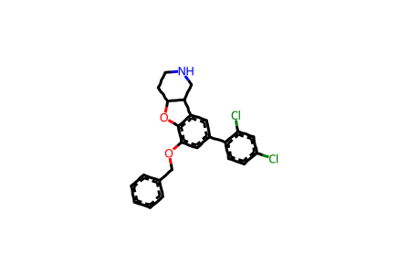 Clc1ccc(-c2cc(OCc3ccccc3)c3c(c2)C2CNCCC2O3)c(Cl)c1